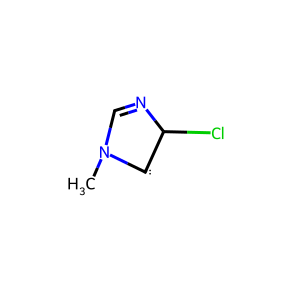 CN1[C]C(Cl)N=C1